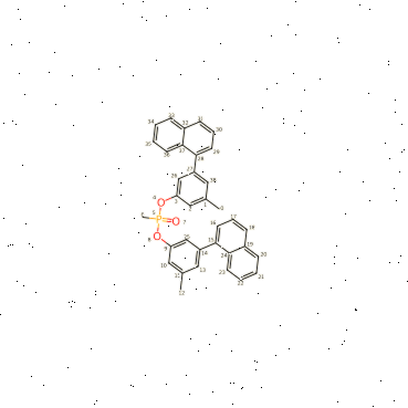 Cc1cc(OP(C)(=O)Oc2cc(C)cc(-c3cccc4ccccc34)c2)cc(-c2cccc3ccccc23)c1